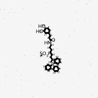 CS(=O)(=O)O.O=C(/C=C/c1ccc(O)c(O)c1)NCCCCCCCC[PH](c1ccccc1)(c1ccccc1)c1ccccc1